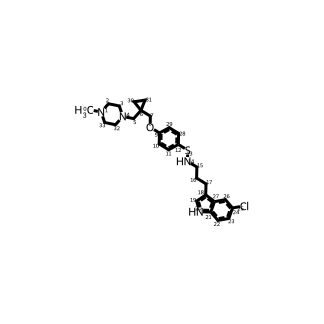 CN1CCN(CC2(COc3ccc(SNCCCc4c[nH]c5ccc(Cl)cc45)cc3)CC2)CC1